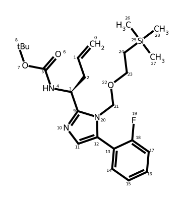 C=CC[C@H](NC(=O)OC(C)(C)C)c1ncc(-c2ccccc2F)n1COCC[Si](C)(C)C